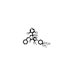 CC(O)(CN(CC1CCCCC1)C(=O)c1cnn([C@H]2CC[C@](C)(C(=O)O)CC2)c1C(F)(F)F)c1c(Cl)cncc1Cl